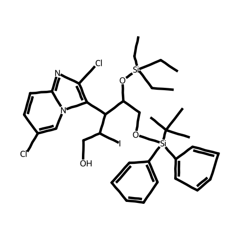 CC[Si](CC)(CC)OC(CO[Si](c1ccccc1)(c1ccccc1)C(C)(C)C)C(c1c(Cl)nc2ccc(Cl)cn12)C(I)CO